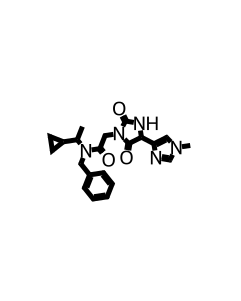 CC(C1CC1)N(Cc1ccccc1)C(=O)CN1C(=O)NC(c2cn(C)cn2)C1=O